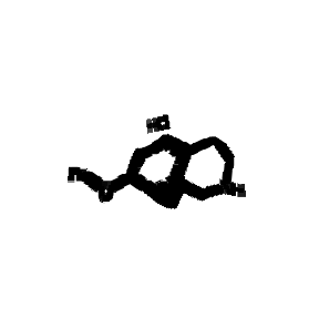 CC(C)Oc1ccc2c(c1)CNCC2.Cl